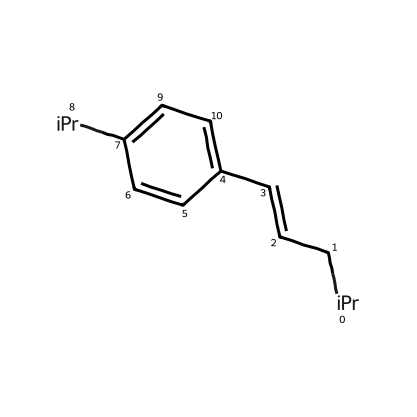 CC(C)CC=Cc1ccc(C(C)C)cc1